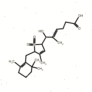 CC1=CC(C(O)/C(C)=C/CCC(=O)O)S(=O)(=O)C1CC1=C(C)CCCC1(C)C